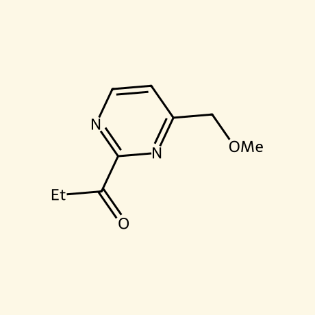 CCC(=O)c1nccc(COC)n1